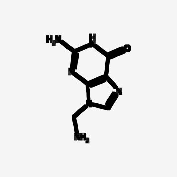 NCn1cnc2c(=O)[nH]c(N)nc21